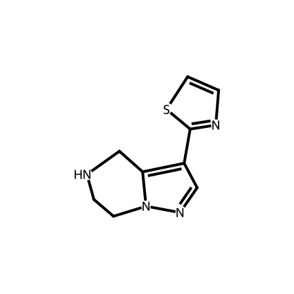 c1csc(-c2cnn3c2CNCC3)n1